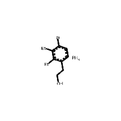 CCc1c(Br)ccc(CCO)c1CC.P